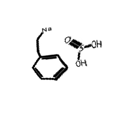 O=S(O)O.[Na][CH2]c1ccccc1